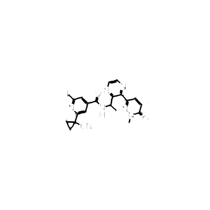 CC(NC(=O)c1cc(Cl)nc(C2(C#N)CC2)c1)c1nccnc1-c1ccc(=O)n(C)n1